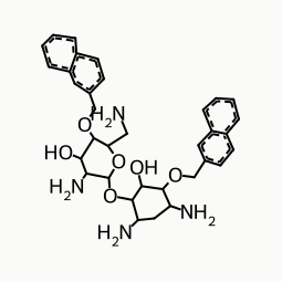 NCC1OC(OC2C(N)CC(N)C(OCc3ccc4ccccc4c3)C2O)C(N)C(O)C1OCc1ccc2ccccc2c1